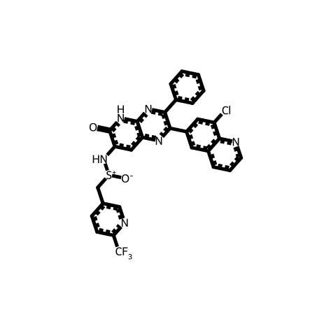 O=c1[nH]c2nc(-c3ccccc3)c(-c3cc(Cl)c4ncccc4c3)nc2cc1N[S+]([O-])Cc1ccc(C(F)(F)F)nc1